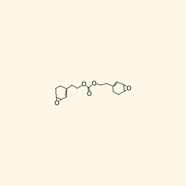 O=C(OCCC1=CC2OC2CC1)OCCC1=CC2OC2CC1